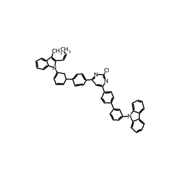 C/C=C\c1c(C)c2ccccc2n1C1=CC=CC(c2ccc(-c3cc(-c4ccc(-c5cccc(-n6c7ccccc7c7ccccc76)c5)cc4)nc(Cl)n3)cc2)C1